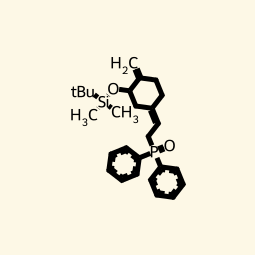 C=C1CC/C(=C/CP(=O)(c2ccccc2)c2ccccc2)CC1O[Si](C)(C)C(C)(C)C